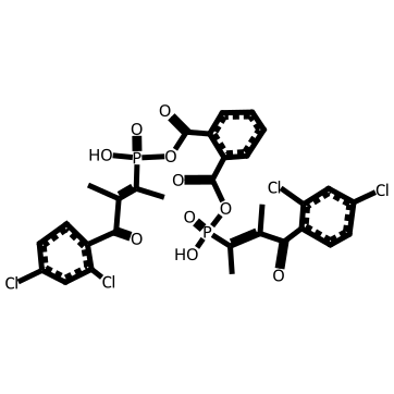 CC(C(=O)c1ccc(Cl)cc1Cl)=C(C)P(=O)(O)OC(=O)c1ccccc1C(=O)OP(=O)(O)C(C)=C(C)C(=O)c1ccc(Cl)cc1Cl